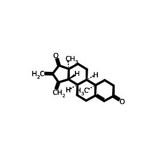 C=C1C(=C)[C@H]2[C@@H]3CCC4=CC(=O)CC[C@]4(C)[C@@H]3CC[C@]2(C)C1=O